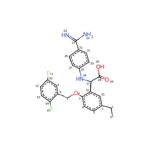 CCc1ccc(OCc2cc(F)ccc2F)c(C(Nc2ccc(C(=N)N)cc2)C(=O)O)c1